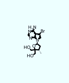 C[C@H]1C[C@H](n2cc(Br)c3c(N)ncnc32)OC1(CO)CO